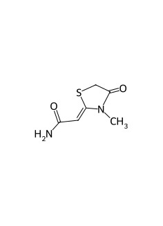 CN1C(=O)CSC1=CC(N)=O